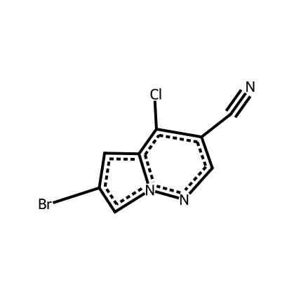 N#Cc1cnn2cc(Br)cc2c1Cl